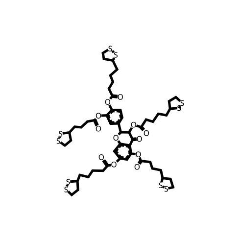 O=C(CCCCC1CCSS1)Oc1cc(OC(=O)CCCC2CCSS2)c2c(c1)OC(c1ccc(OC(=O)CCCCC3CCSS3)c(OC(=O)CCCC3CCSS3)c1)C(OC(=O)CCCCC1CCSS1)C2=O